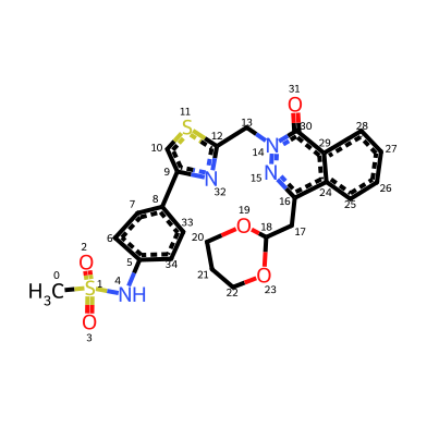 CS(=O)(=O)Nc1ccc(-c2csc(Cn3nc(CC4OCCCO4)c4ccccc4c3=O)n2)cc1